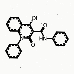 O=C(Nc1ccccc1)c1c(O)c2ccccc2n(-c2ccccc2)c1=O